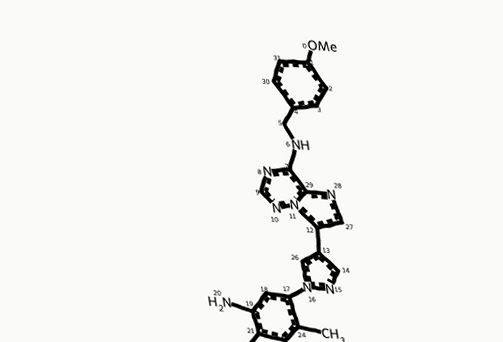 COc1ccc(CNc2ncnn3c(-c4cnn(-c5cc(N)c(F)cc5C)c4)cnc23)cc1